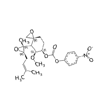 CO[C@H]1C([C@@]2(C)O[C@@H]2CC=C(C)C)[C@]2(CC[C@H]1OC(=O)Oc1ccc([N+](=O)[O-])cc1)CO2